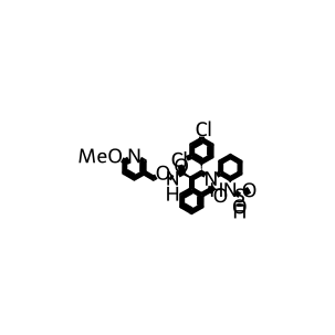 COc1ccc(CONC(=O)[C@@H]2c3ccccc3C(=O)N(C3CCCC[C@@H]3N[SH](=O)=O)[C@H]2c2ccc(Cl)cc2Cl)cn1